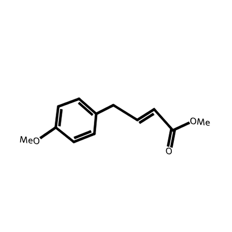 COC(=O)/C=C/Cc1ccc(OC)cc1